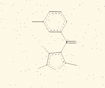 CCOC(=O)c1[nH]c(C)c(C(=O)c2cccc(C)c2)c1Br